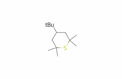 CC1(C)CC(C(C)(C)C)CC(C)(C)S1